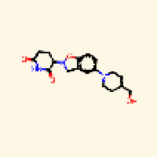 O=C1CCC(N2Cc3cc(N4CCC(CO)CC4)ccc3O2)C(=O)N1